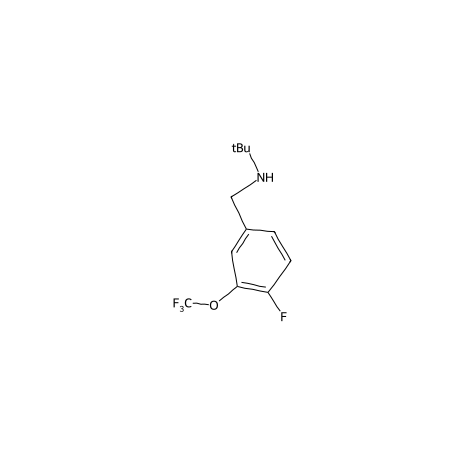 CC(C)(C)NCc1ccc(F)c(OC(F)(F)F)c1